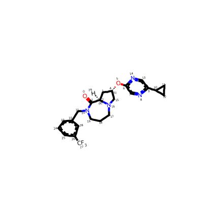 O=C1[C@H]2C[C@H](Oc3cnc(C4CC4)cn3)CN2CCCN1Cc1cccc(C(F)(F)F)c1